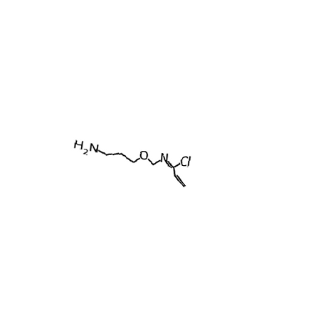 C=C/C(Cl)=N\COCCCN